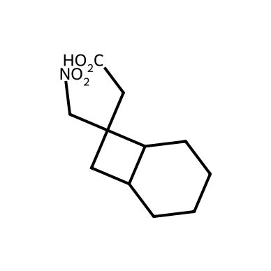 O=C(O)CC1(C[N+](=O)[O-])CC2CCCCC21